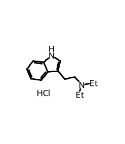 CCN(CC)CCc1c[nH]c2ccccc12.Cl